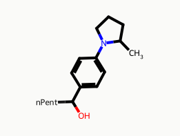 CCCCCC(O)c1ccc(N2CCCC2C)cc1